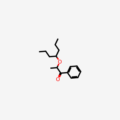 CCCC(CCC)OC(C)C(=O)c1ccccc1